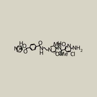 COc1nc(N)c(Cl)cc1C(=O)N[C@@H]1CCN(CCNC(=O)c2ccc(C(=O)O[C@H]3CN4CCC3CC4)cc2)C[C@@H]1OC